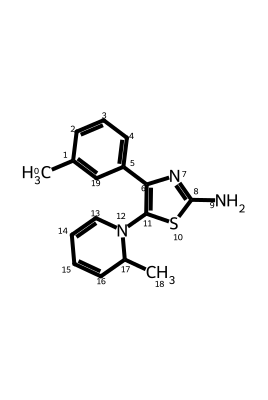 Cc1cccc(-c2nc(N)sc2N2C=CC=CC2C)c1